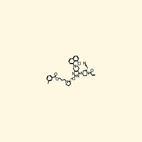 C=CC(=O)N1CCN(c2nc(OC[C@@H]3CCCN3CCCOC(=O)c3cccc(C)c3)nc3c2CCN(c2cccc4cccc(Cl)c24)C3)C[C@@H]1CC#N